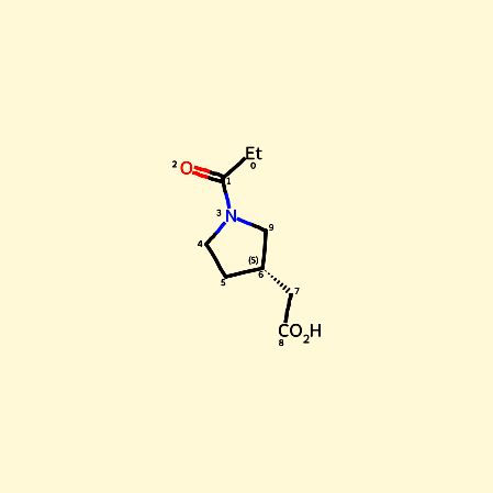 CCC(=O)N1CC[C@@H](CC(=O)O)C1